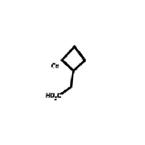 O=C(O)CC1CCC1.[Co]